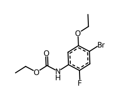 CCOC(=O)Nc1cc(OCC)c(Br)cc1F